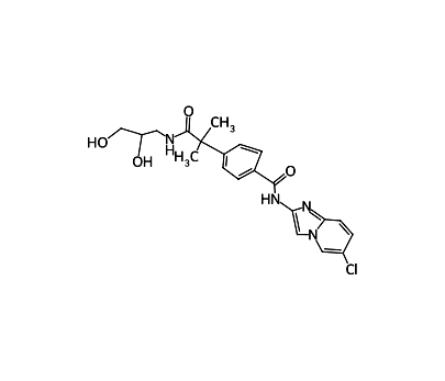 CC(C)(C(=O)NCC(O)CO)c1ccc(C(=O)Nc2cn3cc(Cl)ccc3n2)cc1